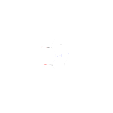 CC(=O)NC(C)=O.CCNCC